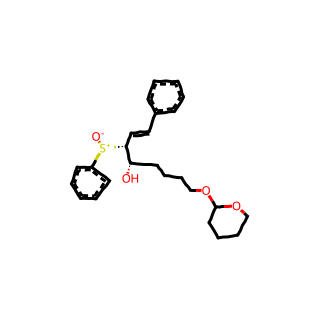 [O-][S+](c1ccccc1)[C@H](/C=C/c1ccccc1)[C@@H](O)CCCCOC1CCCCO1